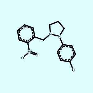 O=[N+]([O-])c1ccccc1CN1CCCN1c1ccc(Cl)cc1